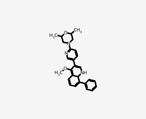 COC1=C2C=CC=C(c3ccccc3)C2NC=C1c1ccc(N2CC(C)OC(C)C2)nc1